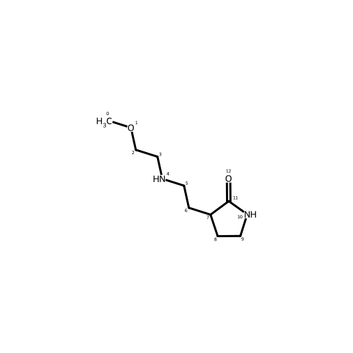 COCCNCCC1CCNC1=O